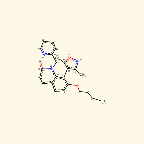 CCCCOc1ccc2ccc(=O)n(Cc3ccccn3)c2c1-c1c(C)noc1C